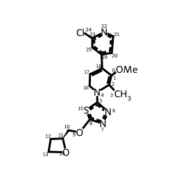 COC1=C(C)N(c2nnc(OC[C@@H]3CCO3)s2)CC=C1c1ccnc(Cl)c1